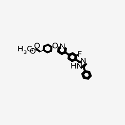 COC(=O)C[C@H]1CC[C@H](Oc2ccc(-c3ccc(-c4ncc(-c5ccccc5)[nH]4)c(F)c3)cn2)CC1